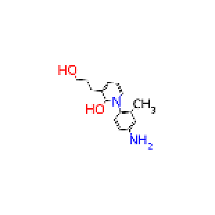 Cc1cc(N)ccc1N1C=CC=C(CCCO)C1O